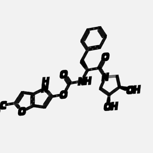 Cc1cc2[nH]c(OC(=O)N[C@@H](Cc3ccccc3)C(=O)N3C[C@@H](O)[C@@H](O)C3)cc2o1